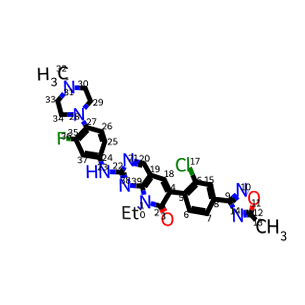 CCn1c(=O)c(-c2ccc(-c3noc(C)n3)cc2Cl)cc2cnc(Nc3ccc(N4CCN(C)CC4)c(F)c3)nc21